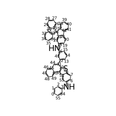 c1ccc(Nc2ccc3sc4c(-c5cccc(Nc6ccc7c(c6)C(c6ccccc6)(c6ccccc6)c6ccccc6-7)c5)cc5ccccc5c4c3c2)cc1